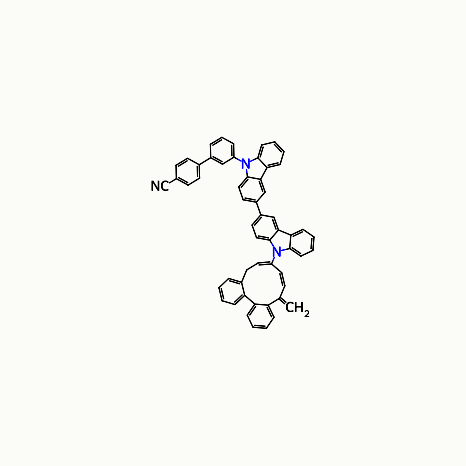 C=C1/C=C\C(n2c3ccccc3c3cc(-c4ccc5c(c4)c4ccccc4n5-c4cccc(-c5ccc(C#N)cc5)c4)ccc32)=C/Cc2ccccc2-c2ccccc21